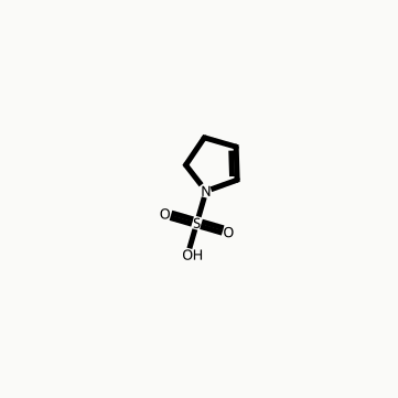 O=S(=O)(O)N1C=CCC1